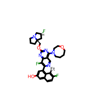 CCc1c(F)ccc2cc(O)cc(-c3ncc4c(N5CCCCOCC5)nc(OC[C@@]56CCCN5C[C@H](F)C6)nc4c3F)c12